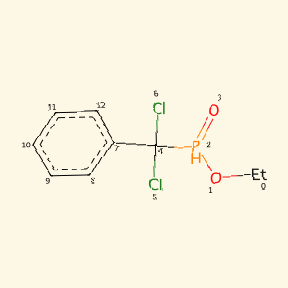 CCO[PH](=O)C(Cl)(Cl)c1ccccc1